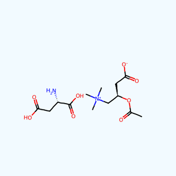 CC(=O)O[C@H](CC(=O)[O-])C[N+](C)(C)C.N[C@@H](CC(=O)O)C(=O)O